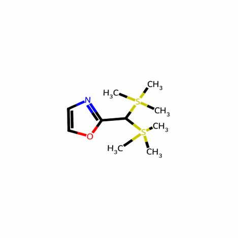 CS(C)(C)C(c1ncco1)S(C)(C)C